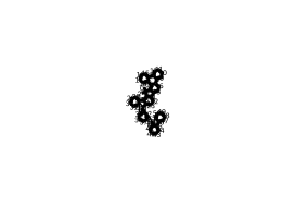 CC1(C)c2c(ccc3c4ccccc4c4ccccc4c23)-c2ccc3c(c21)c1ccccc1n3-c1cccc(-n2c3ccccc3c3ccccc32)c1